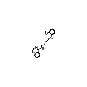 COc1ccccc1OCCCCCNc1ncnc2ccccc12